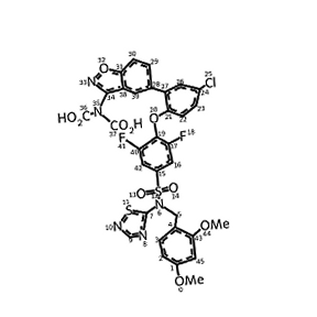 COc1ccc(CN(c2ncns2)S(=O)(=O)c2cc(F)c(Oc3ccc(Cl)cc3-c3ccc4onc(N(C(=O)O)C(=O)O)c4c3)c(F)c2)c(OC)c1